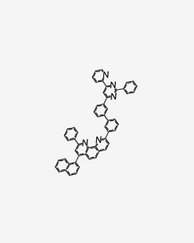 c1ccc(-c2cc(-c3cccc4ccccc34)c3ccc4ccc(-c5cccc(-c6cccc(-c7cc(-c8ccccn8)nc(-c8ccccc8)n7)c6)c5)nc4c3n2)cc1